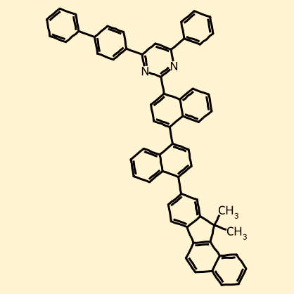 CC1(C)c2cc(-c3ccc(-c4ccc(-c5nc(-c6ccccc6)cc(-c6ccc(-c7ccccc7)cc6)n5)c5ccccc45)c4ccccc34)ccc2-c2ccc3ccccc3c21